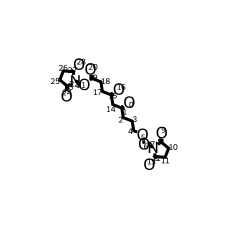 O=C(CCCOON1C(=O)CCC1=O)CC(=O)CCC(=O)ON1C(=O)CCC1=O